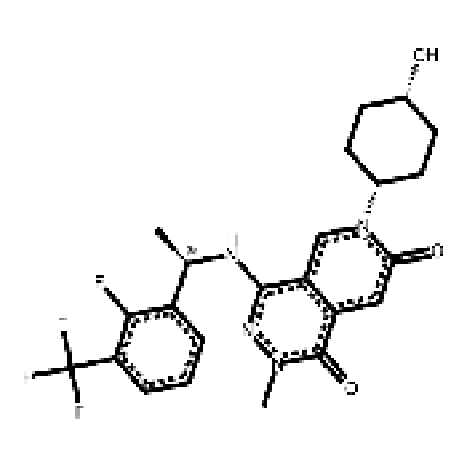 C[C@@H](Nc1nn(C)c(=O)c2cc(=O)n([C@H]3CC[C@@H](O)CC3)cc12)c1cccc(C(F)(F)F)c1F